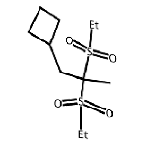 CCS(=O)(=O)C(C)(CC1CCC1)S(=O)(=O)CC